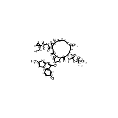 Cc1cn2c(n1)nc(O[C@@H]1C[C@H]3C(=O)N[C@]4(C(=O)NS(=O)(=O)C5(CF)CC5)C[C@H]4/C=C\CC[C@H](C)C[C@@H](C)[C@H](NC(=O)OC(C)(C)C(F)(F)F)C(=O)N3C1)c1cc(Cl)ccc12